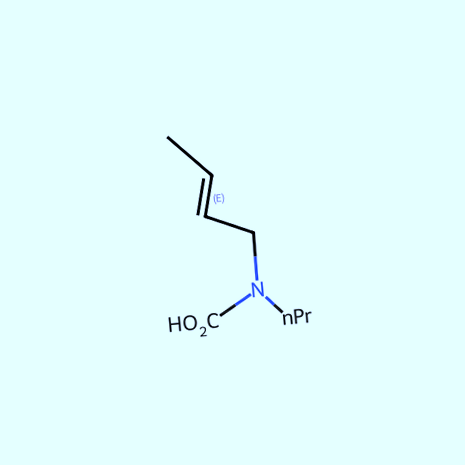 C/C=C/CN(CCC)C(=O)O